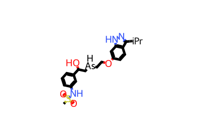 CC(C)c1n[nH]c2cc(OCC[AsH]CC(O)c3cccc(NS(C)(=O)=O)c3)ccc12